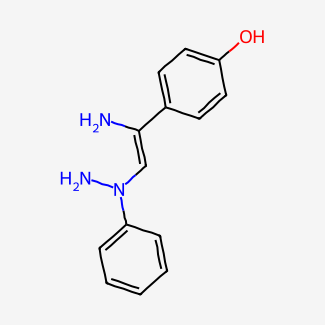 N/C(=C\N(N)c1ccccc1)c1ccc(O)cc1